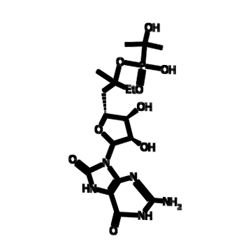 CCC(C)(C[C@H]1OC(n2c(=O)[nH]c3c(=O)[nH]c(N)nc32)[C@H](O)[C@@H]1O)OP(=O)(O)C(C)(C)O